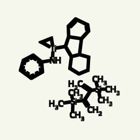 C1=CC2C(C=C1)[CH]([Ti]1([NH]c3ccccc3)[CH2][CH2]1)C1CCCCC21.C=C(C(=C)[Si](C)(C)C)[Si](C)(C)C